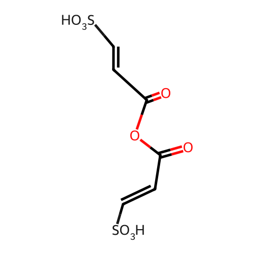 O=C(C=CS(=O)(=O)O)OC(=O)C=CS(=O)(=O)O